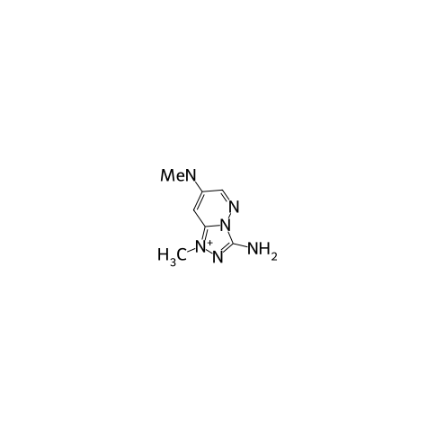 CNc1cnn2c(N)n[n+](C)c2c1